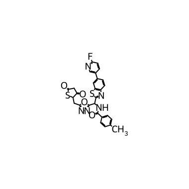 Cc1ccc(C(=O)NC(c2nnc(CC3SC(=O)CC3=O)o2)c2nc3ccc(-c4ccc(F)nc4)cc3s2)cc1